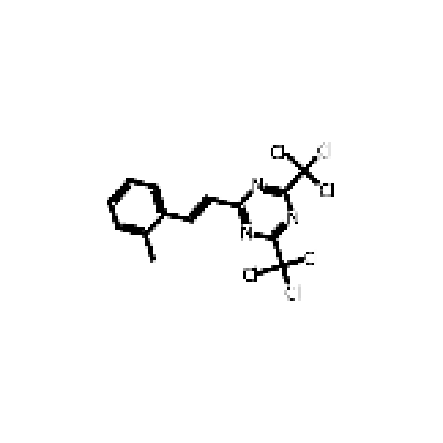 Cc1ccccc1C=Cc1nc(C(Cl)(Cl)Cl)nc(C(Cl)(Cl)Cl)n1